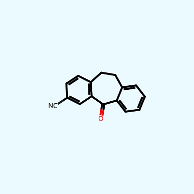 N#Cc1ccc2c(c1)C(=O)c1ccccc1CC2